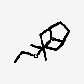 CCOC1CC2CCC(C1)N2C(C)C